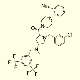 CN(Cc1cc(C(F)(F)F)cc(C(F)(F)F)c1)C1CC(C(=O)N2CCN(c3ccccc3C#N)CC2)N(Cc2cccc(Cl)c2)C1